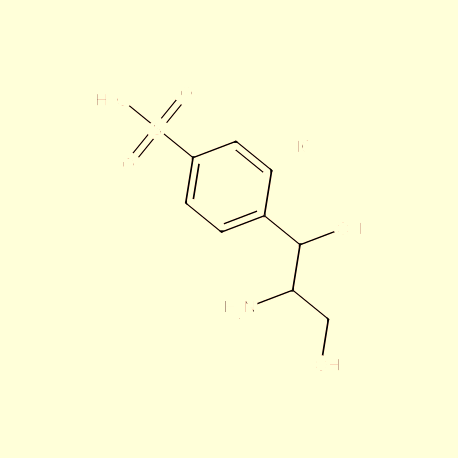 CS(=O)(=O)c1ccc(C(O)C(N)CO)cc1.Cl